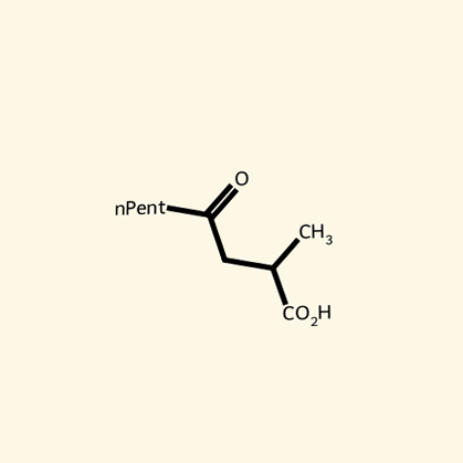 CCCCCC(=O)CC(C)C(=O)O